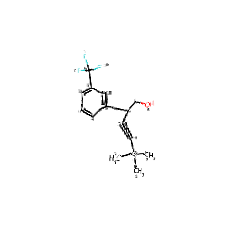 C[Si](C)(C)C#CC(CO)c1cccc(C(F)(F)F)c1